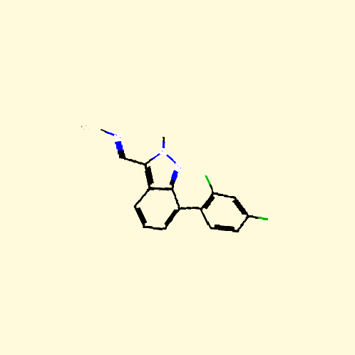 CON=Cc1c2cccc(-c3ccc(Cl)cc3Cl)c2nn1C